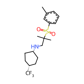 Cc1cccc(S(=O)(=O)C(C)(C)CN[C@H]2CC[C@@H](C(F)(F)F)CC2)c1